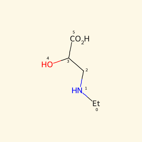 CCNCC(O)C(=O)O